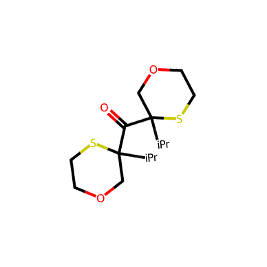 CC(C)C1(C(=O)C2(C(C)C)COCCS2)COCCS1